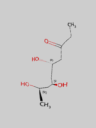 CCC(=O)C[C@@H](O)[C@@H](O)[C@@H](C)O